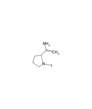 C=C(N)C1CCCN1I